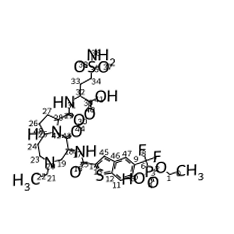 CCOP(=O)(O)C(F)(F)c1ccc2sc(C(=O)N[C@H]3CN(CC)CC[C@H]4CC[C@@H](C(=O)NC(CCS(N)(=O)=O)C(=O)O)N4C3=O)cc2c1